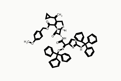 C=C(C1=C(C(=O)OCc2ccc(OC)cc2)N2C(=O)[C@@H](NC(=O)/C(=N\OC(c3ccccc3)(c3ccccc3)c3ccccc3)c3csc(NC(c4ccccc4)(c4ccccc4)c4ccccc4)n3)[C@@H]2SC1)C1CC1